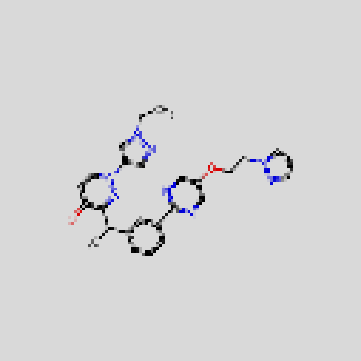 CCn1cc(-n2ccc(=O)c(C(C)c3cccc(-c4ncc(OCCn5cccn5)cn4)c3)n2)cn1